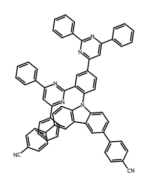 N#Cc1ccc(-c2ccc3c(c2)c2cc(-c4ccc(C#N)cc4)ccc2n3-c2ccc(-c3cc(-c4ccccc4)nc(-c4ccccc4)n3)cc2-c2nc(-c3ccccc3)cc(-c3ccccc3)n2)cc1